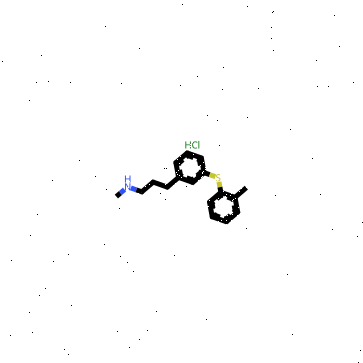 CNCCCc1cccc(Sc2ccccc2C)c1.Cl